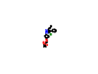 CCCc1nn(C[C@H]2CC[C@H](COCC(=O)OC(C)(C)C)CC2)c(Br)c1-c1ccccc1